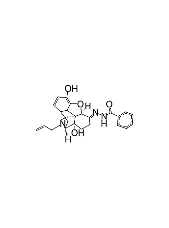 C=CCN1CC[C@@]23C4C5=C(O)C=CC4C[C@@H]1[C@]2(O)CC/C(=N\NC(=O)c1ccccc1)[C@@H]3O5